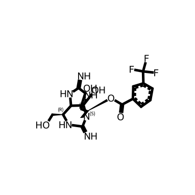 N=C1NC2[C@H](CO)NC(=N)N3C[C@H](OC(=O)c4cccc(C(F)(F)F)c4)C(O)(O)[C@]23N1